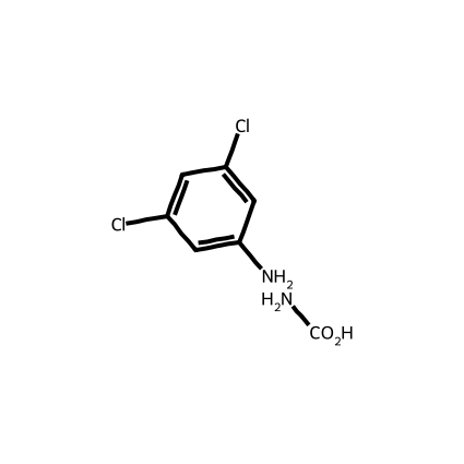 NC(=O)O.Nc1cc(Cl)cc(Cl)c1